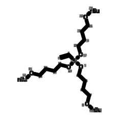 C=C[Si](OCCCCOCCCC)(OCCCCOCCCC)OCCCCOCCCC